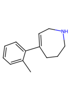 Cc1ccccc1C1=CCNCCC1